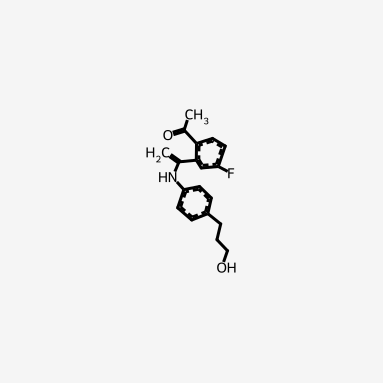 C=C(Nc1ccc(CCCO)cc1)c1cc(F)ccc1C(C)=O